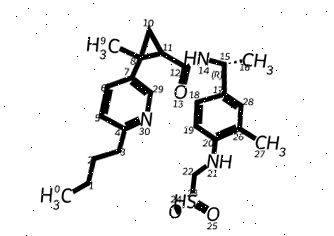 CCCCc1ccc(C2(C)CC2C(=O)N[C@H](C)c2ccc(NC[SH](=O)=O)c(C)c2)cn1